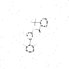 O=C(Nc1nc(-c2c(F)cccc2F)ns1)c1cccnc1C(F)(F)F